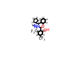 CN(C)C1(C(NC(=O)c2c(O)cc(C(F)(F)F)cc2C(F)(F)F)c2ccccc2)CCCC1